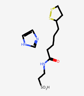 O=C(CCCCC1CCSS1)NCCS(=O)(=O)O.c1c[nH]cn1